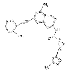 Cc1ccncc1C#Cc1cc2cc(NC(=O)[C@@H]3C[C@H]3c3cnn(C)c3)ncc2c(N)n1